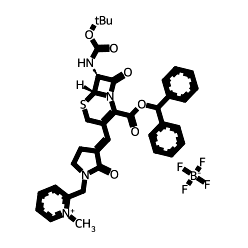 C[n+]1ccccc1CN1CC/C(=C\C2=C(C(=O)OC(c3ccccc3)c3ccccc3)N3C(=O)[C@@H](NC(=O)OC(C)(C)C)[C@H]3SC2)C1=O.F[B-](F)(F)F